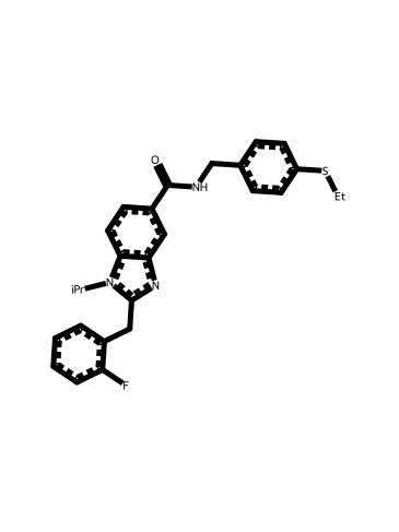 CCSc1ccc(CNC(=O)c2ccc3c(c2)nc(Cc2ccccc2F)n3C(C)C)cc1